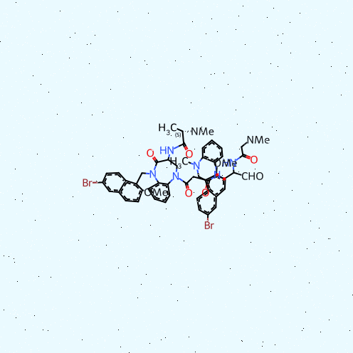 CNCC(=O)NC(C=O)CN(C(=O)CC(=O)N1CC(NC(=O)[C@H](C)NC)C(=O)N(Cc2c(OC)ccc3cc(Br)ccc23)c2ccccc21)c1ccccc1N(C)Cc1c(OC)ccc2cc(Br)ccc12